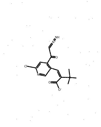 CC(C)(C)C(=Cc1cnc(Cl)cc1C(=O)C=[N+]=N)C(=O)[O-]